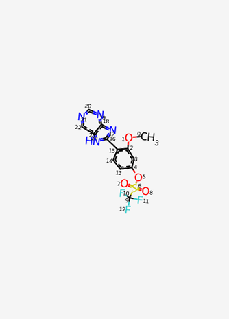 COc1cc(OS(=O)(=O)C(F)(F)F)ccc1-c1nc2ncncc2[nH]1